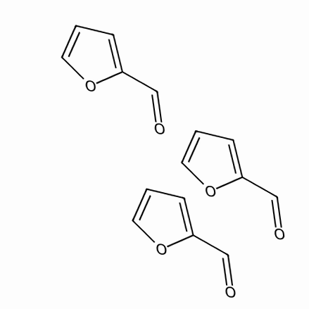 O=Cc1ccco1.O=Cc1ccco1.O=Cc1ccco1